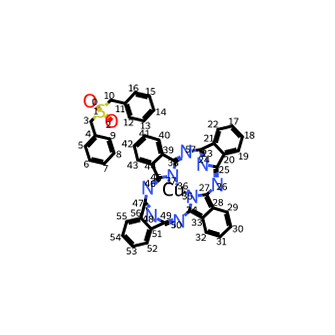 O=S(=O)(Cc1ccccc1)Cc1ccccc1.c1ccc2c(c1)C1=NC/2=N\c2c3ccccc3c3[n]2[Cu][n]2/c(c4ccccc4/c2=N/C2=N\C(=N/3)c3ccccc32)=N\1